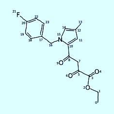 CCOC(=O)C(=O)CC(=O)c1cc(C)cn1Cc1ccc(F)cc1